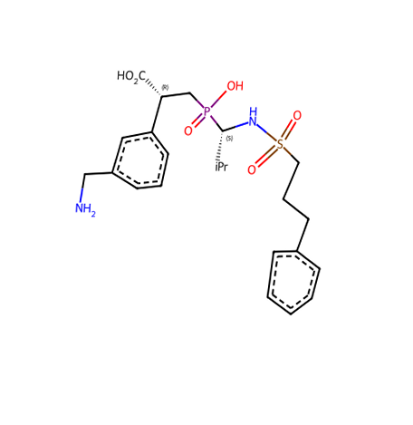 CC(C)[C@@H](NS(=O)(=O)CCCc1ccccc1)P(=O)(O)C[C@@H](C(=O)O)c1cccc(CN)c1